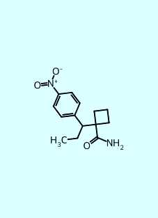 CCC(c1ccc([N+](=O)[O-])cc1)C1(C(N)=O)CCC1